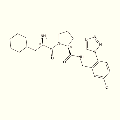 N[C@H](CC1CCCCC1)C(=O)N1CCC[C@H]1C(=O)NCc1cc(Cl)ccc1-n1cnnn1